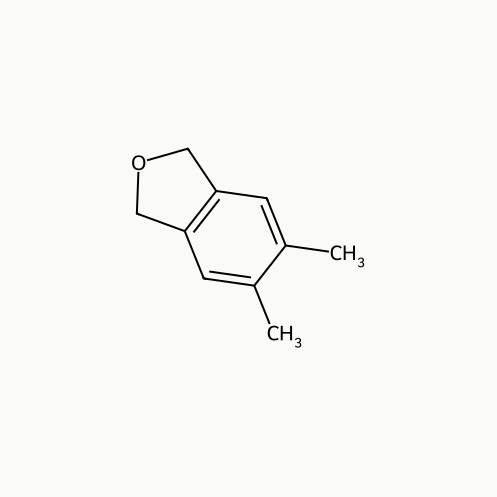 Cc1cc2c(cc1C)COC2